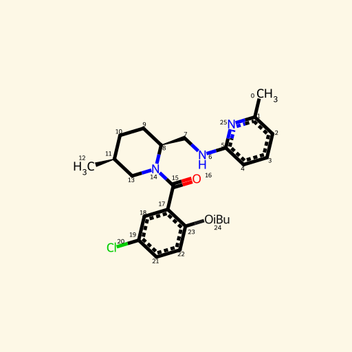 Cc1cccc(NC[C@@H]2CC[C@H](C)CN2C(=O)c2cc(Cl)ccc2OCC(C)C)n1